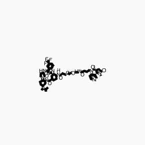 CC(C)N(C)[C@@H]1CC[C@H](N2CC[C@H](Nc3ncnc4ccc(C(F)(F)F)cc34)C2=O)[C@H](NC(=O)C2CCC(NC(=O)CCOCCOCCNC(=O)CCCNC(=O)[C@H]3CC(=O)N(C)[C@@H]3c3cccnc3)CC2)C1